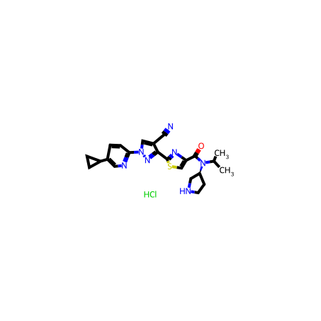 CC(C)N(C(=O)c1csc(-c2nn(-c3ccc(C4CC4)cn3)cc2C#N)n1)[C@H]1CCNC1.Cl